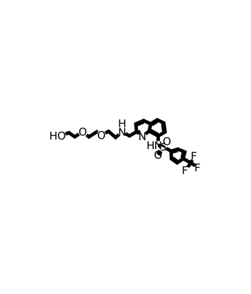 O=S(=O)(Nc1cccc2ccc(CNCCOCCOCCO)nc12)c1ccc(C(F)(F)F)cc1